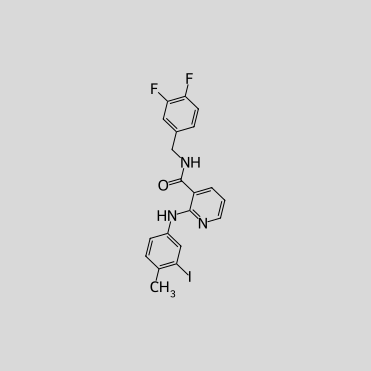 Cc1ccc(Nc2ncccc2C(=O)NCc2ccc(F)c(F)c2)cc1I